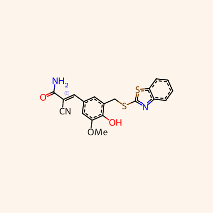 COc1cc(/C=C(\C#N)C(N)=O)cc(CSc2nc3ccccc3s2)c1O